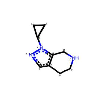 c1nn(C2CC2)c2c1CCNC2